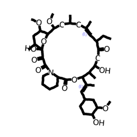 CCC1/C=C(\C)CC(C)CC(OC)C2OC(O)(C(=O)C(=O)N3CCCCC3C(=O)OC(/C(C)=C/C3CCC(O)C(OC)C3)C(C)C(O)CC1=O)C(C)CC2OC